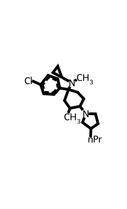 CCCC1CCN(C2CCC(c3ccc(Cl)cc3)(N(C)C3CC3)CC2C)C1